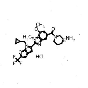 COc1cc(C(=O)N2CCC[C@@H](N)C2)cc2nc(-c3cc4cc(C(F)(F)F)oc4n3CC3CC3)n(C)c12.Cl